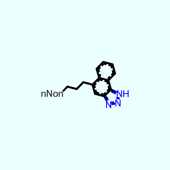 CCCCCCCCCCCCc1cc2nn[nH]c2c2ccccc12